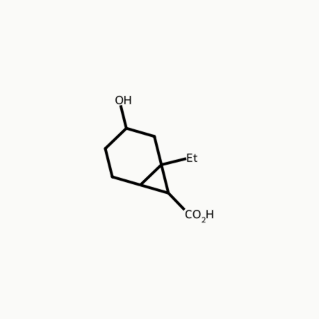 CCC12CC(O)CCC1C2C(=O)O